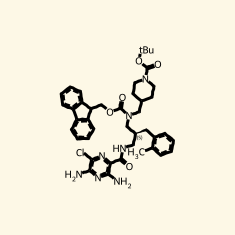 Cc1ccccc1C[C@@H](CNC(=O)c1nc(Cl)c(N)nc1N)CN(CC1CCN(C(=O)OC(C)(C)C)CC1)C(=O)OCC1c2ccccc2-c2ccccc21